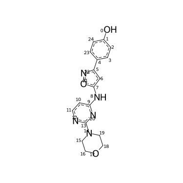 Oc1ccc(-c2cc(Nc3ccnc(N4CCOCC4)n3)on2)cc1